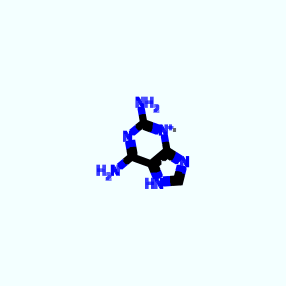 NC1=NC(N)=[N+]c2nc[nH]c21